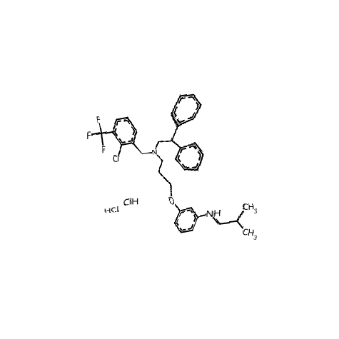 CC(C)CNc1cccc(OCCCN(Cc2cccc(C(F)(F)F)c2Cl)CC(c2ccccc2)c2ccccc2)c1.Cl.Cl